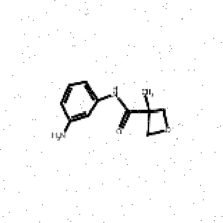 CC1(C(=O)Nc2cccc(N)c2)COC1